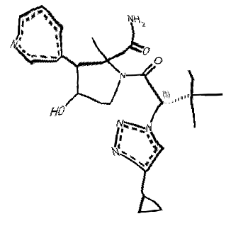 CC(C)(C)[C@@H](C(=O)N1CC(O)C(c2cccnc2)C1(C)C(N)=O)n1cc(C2CC2)nn1